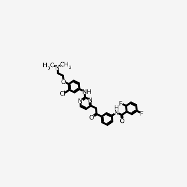 CN(C)CCOc1ccc(Nc2nccc(CC(=O)c3cccc(NC(=O)C4C=C(F)C=CC4F)c3)n2)cc1Cl